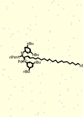 CCCCCCCCCCCCCCCCCCCCCCCCCCCC=CC(C(CCCCC)=Nc1cc(CCCC)cc(CCCC)c1)=[N+]([Pd])c1cc(CCCC)cc(CCCC)c1